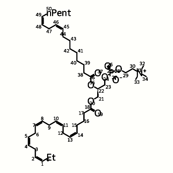 CC/C=C\C/C=C\C/C=C\C/C=C\C/C=C\CCCC(=O)OC[C@H](COP(=O)([O-])OCC[N+](C)(C)C)OC(=O)CCCCCCC/C=C\C/C=C\CCCCC